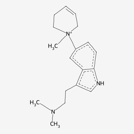 CN(C)CCc1c[nH]c2ccc([N+]3(C)CC=CCC3)cc12